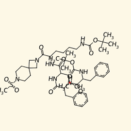 CC(C)CC(NC(=O)C(Cc1ccccc1)NC(=O)C(Cc1ccccc1)NC(=O)OC(C)(C)C)C(=O)NC(CCCCNC(=O)OC(C)(C)C)C(=O)N1CC2(CCN(S(C)(=O)=O)CC2)C1